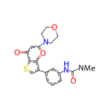 CNC(=O)Nc1cccc(-c2csc3c(=O)cc(N4CCOCC4)oc23)c1